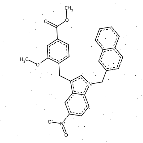 COC(=O)c1ccc(Cc2cn(Cc3ccc4ccccc4c3)c3ccc([N+](=O)[O-])cc23)c(OC)c1